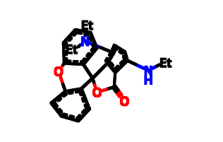 CCNc1ccc(N(CC)CC)c2c1C(=O)OC21c2ccccc2Oc2ccccc21